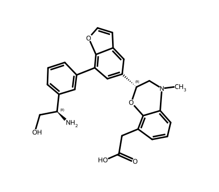 CN1C[C@@H](c2cc(-c3cccc([C@@H](N)CO)c3)c3occc3c2)Oc2c(CC(=O)O)cccc21